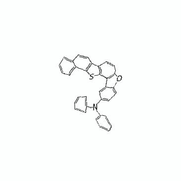 c1ccc(N(c2ccccc2)c2ccc3oc4ccc5c6ccc7ccccc7c6sc5c4c3c2)cc1